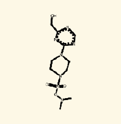 CN(C)OS(=O)(=O)N1CCN(c2ncnc(CO)n2)CC1